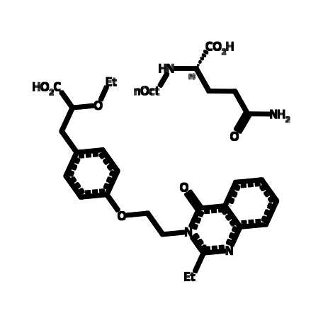 CCCCCCCCN[C@@H](CCC(N)=O)C(=O)O.CCOC(Cc1ccc(OCCn2c(CC)nc3ccccc3c2=O)cc1)C(=O)O